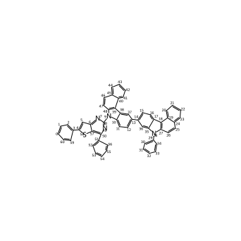 c1ccc(-c2cc3nc(-n4c5ccc(-c6ccc7c8c9ccccc9ccc8n(-c8ccccc8)c7c6)cc5c5c6ccccc6ccc54)nc(-c4ccccc4)c3s2)cc1